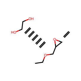 C=C.C=C.C=C.C=C.C=C.C=C.CCOCC1CO1.OCCO